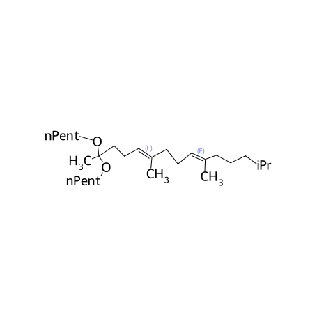 CCCCCOC(C)(CC/C=C(\C)CC/C=C(\C)CCCC(C)C)OCCCCC